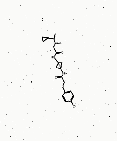 CC(C1CC1)N(C)CC(=O)NC12CC(NC(=O)COc3ccc(Cl)cc3)(C1)C2